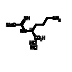 COC(=N)N[C@@H](CCCN)C(=O)O.Cl.Cl